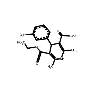 COC(=O)C1=C(C)NC(C)=C(C(=O)NCC(=O)O)C1c1cccc([N+](=O)[O-])c1